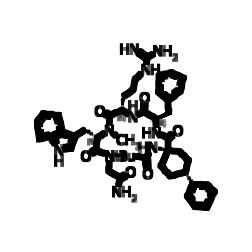 CCCCC(=O)N[C@]1(C(=O)N[C@H](Cc2ccccc2)C(=O)N[C@@H](CCCNC(=N)N)C(=O)N(C)[C@@H](Cc2c[nH]c3ccccc23)C(=O)NCC(N)=O)CC[C@H](c2ccccc2)CC1